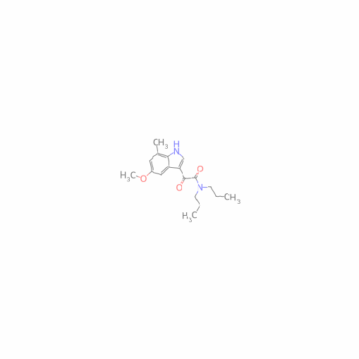 CCCN(CCC)C(=O)C(=O)c1c[nH]c2c(C)cc(OC)cc12